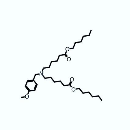 CCCCCCOC(=O)CCCCCN(CCCCCC(=O)OCCCCCC)Cc1ccc(OC)cc1